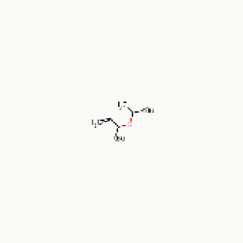 C=CC(OC(C)C(C)(C)C)C(C)(C)C